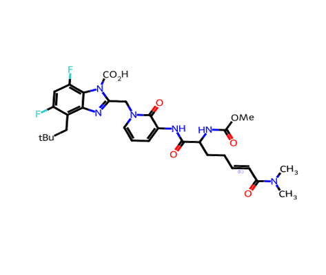 COC(=O)NC(CC/C=C/C(=O)N(C)C)C(=O)Nc1cccn(Cc2nc3c(CC(C)(C)C)c(F)cc(F)c3n2C(=O)O)c1=O